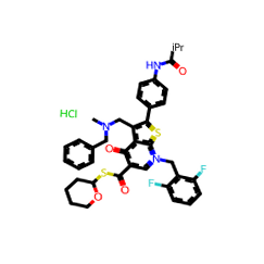 CC(C)C(=O)Nc1ccc(-c2sc3c(c2CN(C)Cc2ccccc2)c(=O)c(C(=O)SC2CCCCO2)cn3Cc2c(F)cccc2F)cc1.Cl